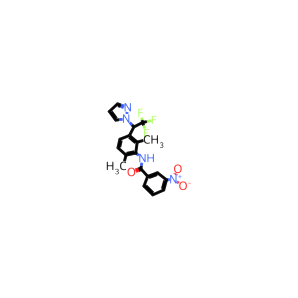 Cc1ccc(C(n2cccn2)C(F)(F)F)c(C)c1NC(=O)c1cccc([N+](=O)[O-])c1